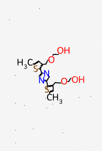 Cc1cc(CCOCCO)c(-c2cnc(-c3sc(C)cc3CCOCCO)cn2)s1